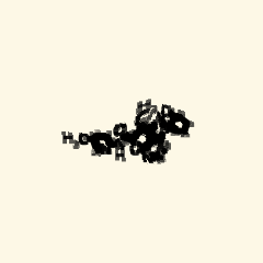 Cc1ccc(NC(=O)C2Oc3ncnc4c3c(nn4C3=CCCC=C3Cl)C2C)nc1